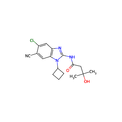 CC(C)(O)CC(=O)Nc1nc2cc(Cl)c(C#N)cc2n1C1CCC1